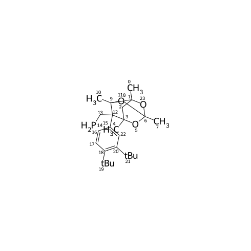 CC12CC3(C)OC(C)(CC(C)(O1)C3(CP)c1ccc(C(C)(C)C)c(C(C)(C)C)c1)O2